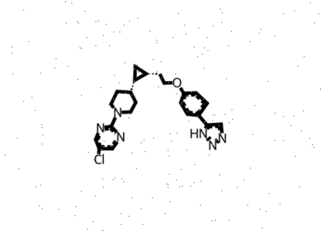 Clc1cnc(N2CCC([C@@H]3C[C@@H]3CCOc3ccc(-c4cnn[nH]4)cc3)CC2)nc1